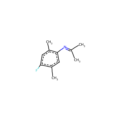 CC(C)=Nc1cc(C)c(F)cc1C